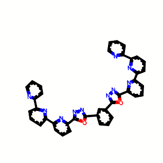 c1ccc(-c2cccc(-c3cccc(-c4nnc(-c5cccc(-c6nnc(-c7cccc(-c8cccc(-c9ccccn9)n8)n7)o6)c5)o4)n3)n2)nc1